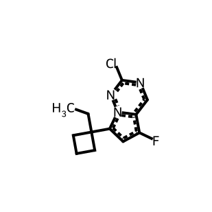 CCC1(c2cc(F)c3cnc(Cl)nn23)CCC1